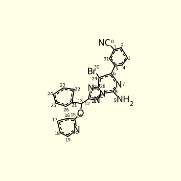 N#Cc1cccc(-c2nc(N)n3nc(C(Oc4ccccn4)c4ccccc4)nc3c2Br)c1